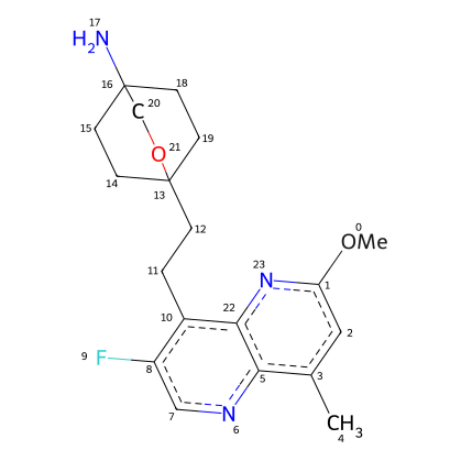 COc1cc(C)c2ncc(F)c(CCC34CCC(N)(CC3)CO4)c2n1